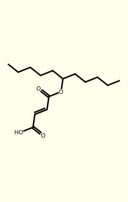 CCCCCC(CCCCC)OC(=O)C=CC(=O)O